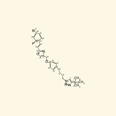 C[Si](C)(C)c1cn(CCCCc2ccc(OCc3coc(C=Cc4ccc(Br)cc4F)n3)cc2)nn1